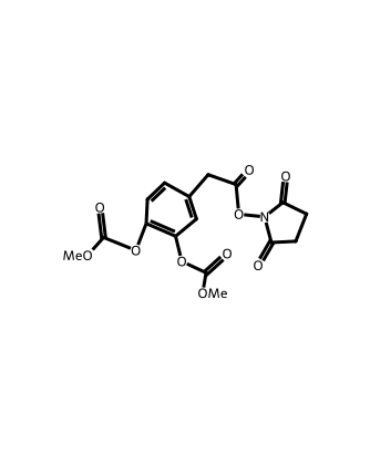 COC(=O)Oc1ccc(CC(=O)ON2C(=O)CCC2=O)cc1OC(=O)OC